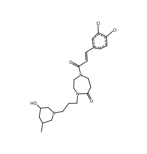 CC1CC(O)CN(CCCN2CCN(C(=O)/C=C/c3ccc(Cl)c(Cl)c3)CCC2=O)C1